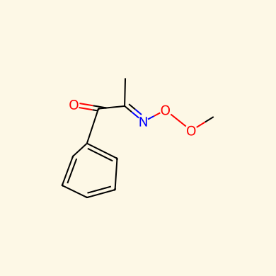 COON=C(C)C(=O)c1ccccc1